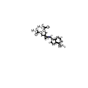 CC(=O)OCC1(COC(C)=O)C/C1=C\n1cnc2c(N)ncnc21